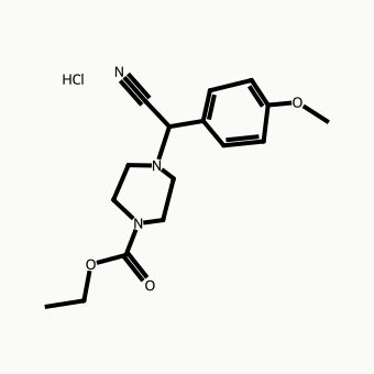 CCOC(=O)N1CCN(C(C#N)c2ccc(OC)cc2)CC1.Cl